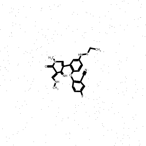 CCSNc1ccc(Oc2ccc(F)cc2C#N)c(C2=CN(C)C(=O)/C(=C/NC)C2=N)c1